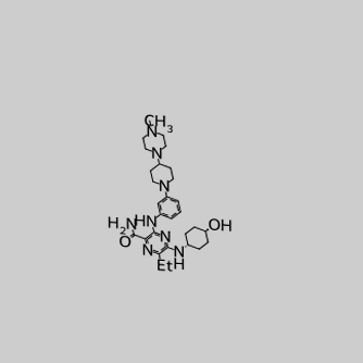 CCc1nc(C(N)=O)c(Nc2cccc(N3CCC(N4CCN(C)CC4)CC3)c2)nc1N[C@H]1CC[C@H](O)CC1